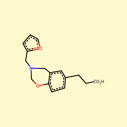 O=C(O)CCc1ccc2c(c1)CN(Cc1ccco1)CO2